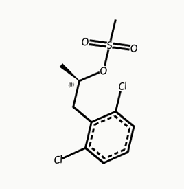 C[C@H](Cc1c(Cl)cccc1Cl)OS(C)(=O)=O